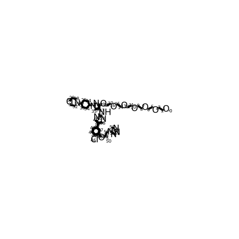 COCCOCCOCCOCCOCCOCCOc1nn(C2CCC(N3CCOCC3)CC2)cc1Nc1ncc(-c2ccc(Cl)c(O[C@@H](C)Cn3cnnn3)c2)cn1